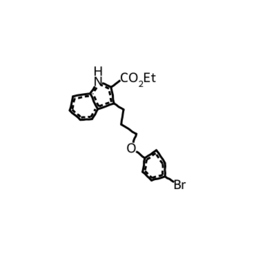 CCOC(=O)c1[nH]c2ccccc2c1CCCOc1ccc(Br)cc1